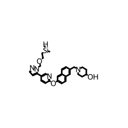 C[SiH](C)CCOCn1nccc1-c1ccc(Oc2ccc3cc(CN4CCC(O)CC4)ccc3c2)nc1